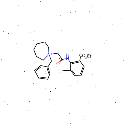 CCOC(=O)c1cccc(C)c1NC(=O)C[N+]1(Cc2ccccc2)CCCCCC1